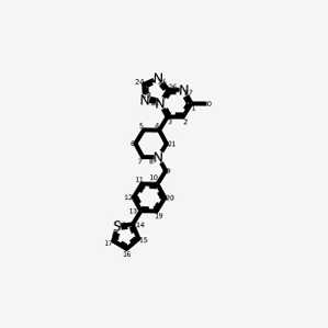 Cc1cc(C2CCCN(Cc3ccc(-c4cccs4)cc3)C2)n2ncnc2n1